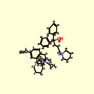 COc1ccc2c(c1)[C@]13CCCC[C@@H]1[C@H](C2)N(C)CC3.OC(CCCN1CCCCC1)(c1ccccc1)c1ccccc1